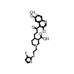 COc1ccc2ncc(Cl)c(C(=O)CCC3CCN(CCSc4sccc4F)CC3C(=O)O)c2c1